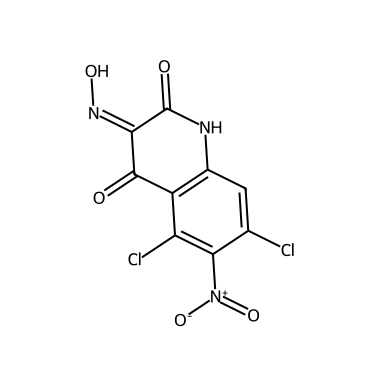 O=C1Nc2cc(Cl)c([N+](=O)[O-])c(Cl)c2C(=O)/C1=N/O